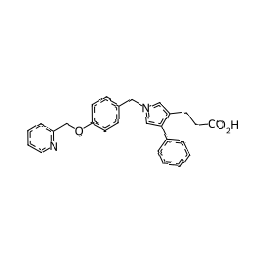 O=C(O)CCc1cn(Cc2ccc(OCc3ccccn3)cc2)cc1-c1ccccc1